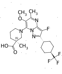 COc1c(C)nc2c(F)c([C@H]3CC[C@H](C(F)(F)F)CC3)nn2c1N1CCC[C@](C)(C(=O)O)C1